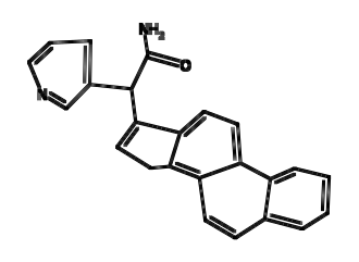 NC(=O)C(C1=CCc2c1ccc1c2ccc2ccccc21)c1cccnc1